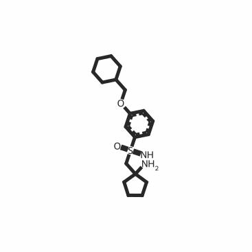 N=S(=O)(CC1(N)CCCC1)c1cccc(OCC2CCCCC2)c1